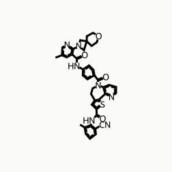 Cc1cnc(N2CC3(CCOCC3)C2)c(C(=O)Nc2ccc(C(=O)N3CCc4cc(C(=O)Nc5c(C)cccc5C#N)sc4-c4ncccc43)cc2)c1